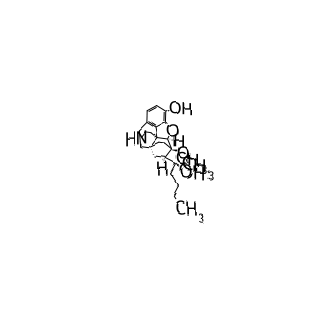 CCCC[C@@](C)(O)[C@H]1C[C@@]23CC[C@]1(OC)[C@@H]1Oc4c(O)ccc5c4C12CCNC3C5